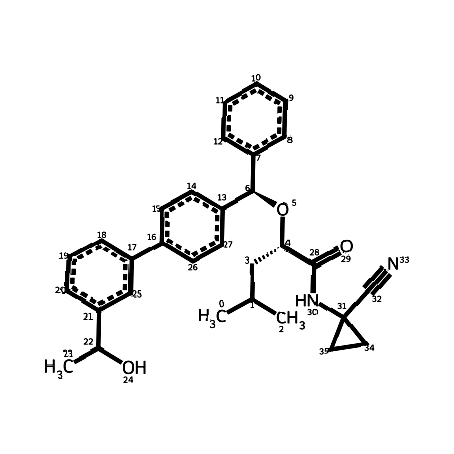 CC(C)C[C@H](O[C@H](c1ccccc1)c1ccc(-c2cccc(C(C)O)c2)cc1)C(=O)NC1(C#N)CC1